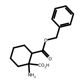 NC1(C(=O)O)CCCCC1C(=O)OCc1ccccc1